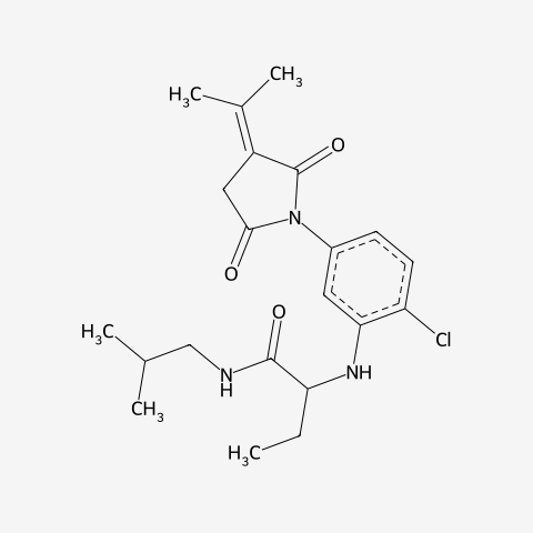 CCC(Nc1cc(N2C(=O)CC(=C(C)C)C2=O)ccc1Cl)C(=O)NCC(C)C